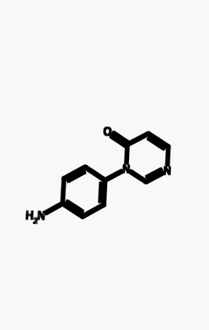 Nc1ccc(-n2cnccc2=O)cc1